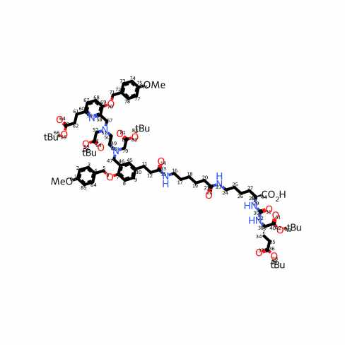 COc1ccc(COc2ccc(CCC(=O)NCCCCCC(=O)NCCCC[C@H](NC(=O)N[C@@H](CCC(=O)OC(C)(C)C)C(=O)OC(C)(C)C)C(=O)O)cc2CN(CCN(CC(=O)OC(C)(C)C)Cc2nc(CCC(=O)OC(C)(C)C)ccc2OCc2ccc(OC)cc2)CC(=O)OC(C)(C)C)cc1